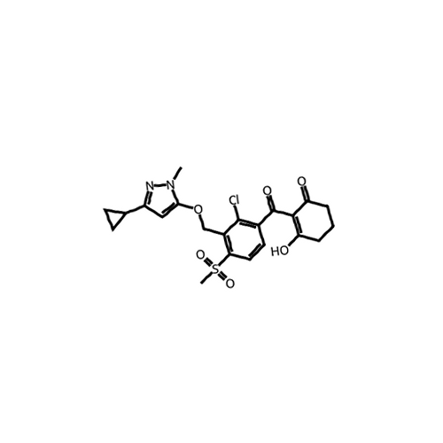 Cn1nc(C2CC2)cc1OCc1c(S(C)(=O)=O)ccc(C(=O)C2=C(O)CCCC2=O)c1Cl